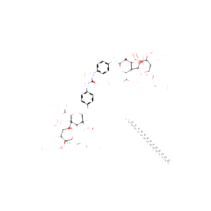 O=C(Nc1ccc(S[C@@H]2O[C@H](C(O)S(=O)(=O)O)[C@](O)([C@@H]3O[C@H](COS(=O)(=O)O)[C@@H](OS(=O)(=O)O)[C@H](OS(=O)(=O)O)[C@H]3OS(=O)(=O)O)[C@@](O)(S(=O)(=O)O)[C@]2(O)S(=O)(=O)O)cc1)Nc1ccc(S[C@@H]2O[C@H](C(O)S(=O)(=O)O)[C@](O)([C@@H]3O[C@H](COS(=O)(=O)O)[C@@H](OS(=O)(=O)O)[C@H](OS(=O)(=O)O)[C@H]3OS(=O)(=O)O)[C@@](O)(S(=O)(=O)O)[C@]2(O)S(=O)(=O)O)cc1.[Na+].[Na+].[Na+].[Na+].[Na+].[Na+].[Na+].[Na+].[Na+].[Na+].[Na+].[Na+].[Na+].[Na+]